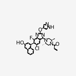 C=CC(=O)N1C[C@H](C)N(c2nc(Oc3cn[nH]c3)nc3c(F)c(-c4cc(O)cc5ccccc45)c(Cl)cc23)C[C@H]1C